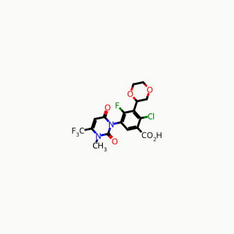 Cn1c(C(F)(F)F)cc(=O)n(-c2cc(C(=O)O)c(Cl)c(C3COCCO3)c2F)c1=O